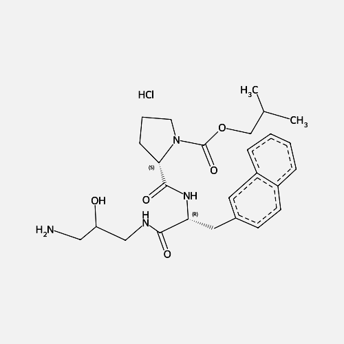 CC(C)COC(=O)N1CCC[C@H]1C(=O)N[C@H](Cc1ccc2ccccc2c1)C(=O)NCC(O)CN.Cl